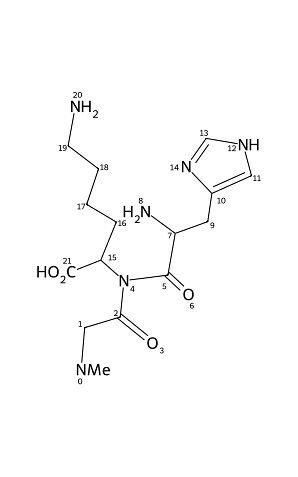 CNCC(=O)N(C(=O)C(N)Cc1c[nH]cn1)C(CCCCN)C(=O)O